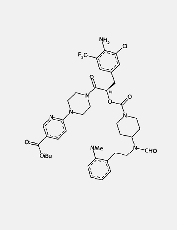 CNc1ccccc1CCN(C=O)C1CCN(C(=O)O[C@H](Cc2cc(Cl)c(N)c(C(F)(F)F)c2)C(=O)N2CCN(c3ccc(C(=O)OCC(C)C)cn3)CC2)CC1